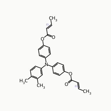 C/C=C/C(=O)Oc1ccc(N(c2ccc(OC(=O)/C=C/C)cc2)c2ccc(C)c(C)c2)cc1